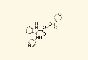 O=C(OCOC(=O)N1CCOCC1)c1[nH]c2ccccc2c1Nc1ccncc1